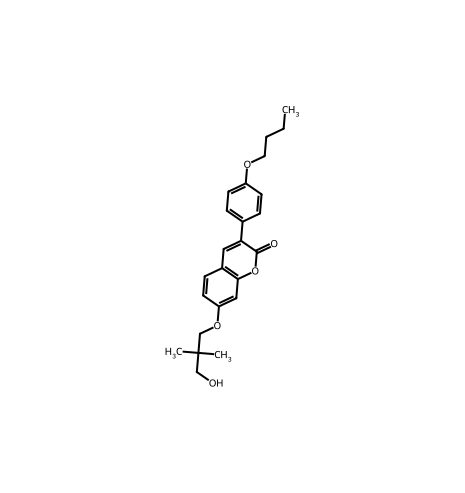 CCCCOc1ccc(-c2cc3ccc(OCC(C)(C)CO)cc3oc2=O)cc1